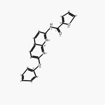 O=C(Nc1ccc2ccc(Oc3ccccc3)nc2n1)c1ccco1